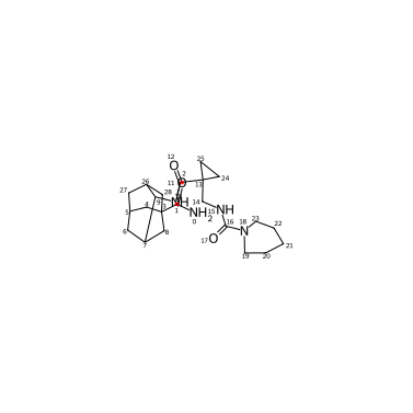 NC(=O)C12CC3CC(C1)C(NC(=O)C1(CNC(=O)N4CCCCC4)CC1)C(C3)C2